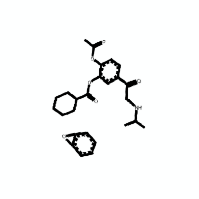 CC(=O)Oc1ccc(C(=O)CNC(C)C)cc1OC(=O)C1CCCCC1.c1ccc2c(c1)O2